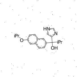 CC(C)Oc1ccc2cc(C(O)(c3c[nH]cn3)C(C)C)ccc2c1